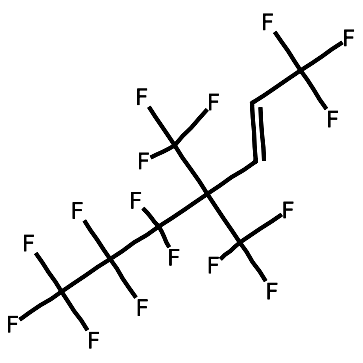 FC(F)(F)C=CC(C(F)(F)F)(C(F)(F)F)C(F)(F)C(F)(F)C(F)(F)F